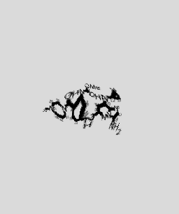 COC(=O)Nc1cc(Nc2cc(NC3CC3)c3ncc(N)n3n2)ccc1C(=O)N1CCN(C)CC1